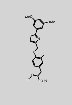 CCOC(Cc1ccc(OCc2csc(-c3cc(OC)cc(OC)c3)n2)c(F)c1)C(=O)O